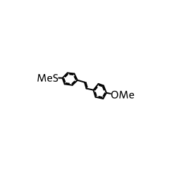 COc1ccc(C=Cc2ccc(SC)cc2)cc1